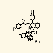 Cc1ccc(-n2nc(C(C)(C)C)cc2NC(=O)Nc2ccccc2C(C(=O)CCC(=O)c2ccc(F)cc2)C2CCNCC2)cc1